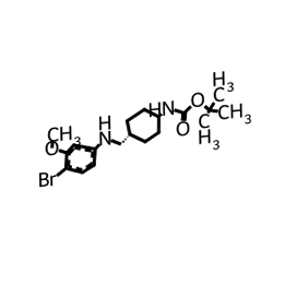 COc1cc(NC[C@H]2CC[C@H](NC(=O)OC(C)(C)C)CC2)ccc1Br